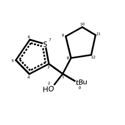 CC(C)(C)C(O)(c1cccs1)C1CCCC1